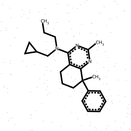 CCCN(CC1CC1)c1nc(C)nc2c1CCCC2(C)c1ccccc1